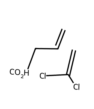 C=C(Cl)Cl.C=CCC(=O)O